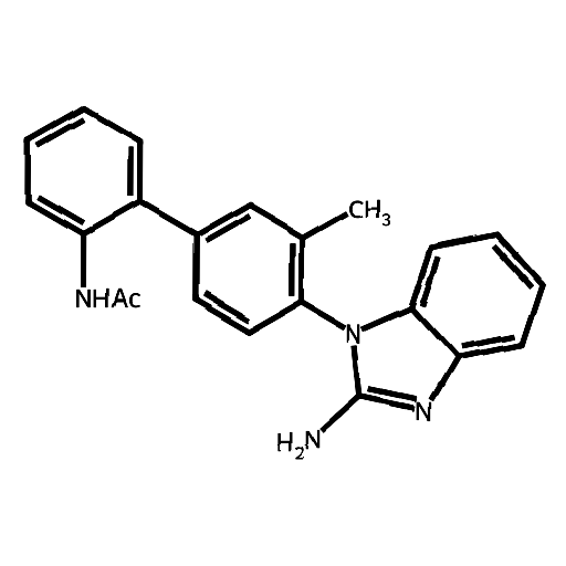 CC(=O)Nc1ccccc1-c1ccc(-n2c(N)nc3ccccc32)c(C)c1